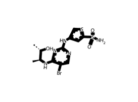 C[C@H](O)[C@H](C)Nc1nc(Nc2csc(S(N)(=O)=O)c2)ncc1Br